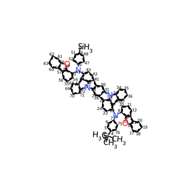 C[Si](C)(C)c1ccc(N(c2cccc3c2oc2ccccc23)c2ccc3c4cc5c(cc4n4c6ccccc6c2c34)c2ccc(N(c3ccc([SiH3])cc3)c3cccc4c3oc3ccccc34)c3c4ccccc4n5c23)cc1